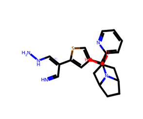 N=C/C(=C\NN)c1cc(C(=O)N2C3CCC2CC(O)(c2ccccn2)C3)cs1